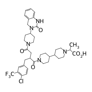 CC(C(=O)O)N1CCC(C2CCN(C(=O)C(CC(=O)N3CCC(N4Cc5ccccc5NC4=O)CC3)Cc3ccc(Cl)c(C(F)(F)F)c3)CC2)CC1